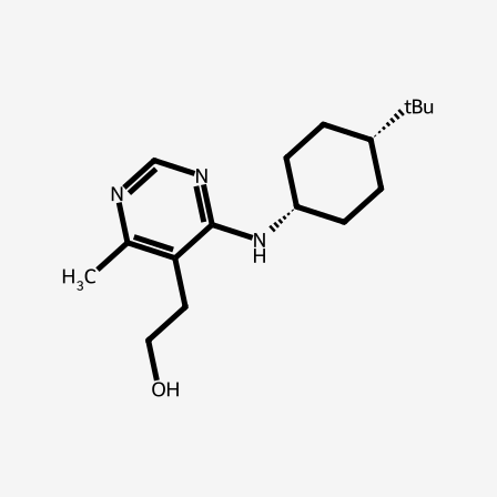 Cc1ncnc(N[C@H]2CC[C@@H](C(C)(C)C)CC2)c1CCO